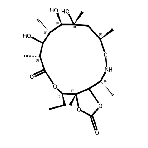 CC[C@H]1OC(=O)[C@H](C)C(O)[C@H](C)[C@@H](O)[C@](C)(O)C[C@@H](C)CN[C@H](C)C2OC(=O)O[C@@]21C